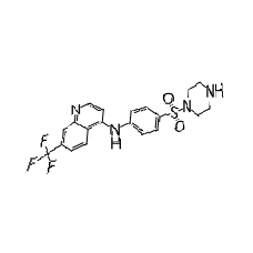 O=S(=O)(c1ccc(Nc2ccnc3cc(C(F)(F)F)ccc23)cc1)N1CCNCC1